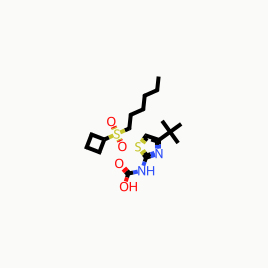 CC(C)(C)c1csc(NC(=O)O)n1.CCCCCCS(=O)(=O)C1CCC1